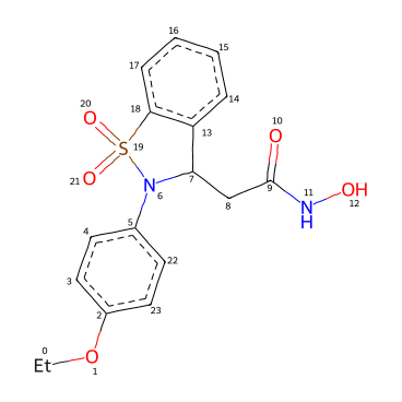 CCOc1ccc(N2C(CC(=O)NO)c3ccccc3S2(=O)=O)cc1